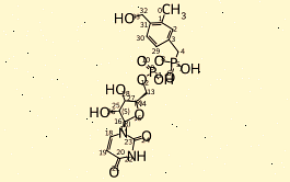 Cc1cc(CP(=O)(O)OP(=O)(O)OC[C@H]2O[C@@H](n3ccc(=O)[nH]c3=O)[C@@H](O)C2O)ccc1CO